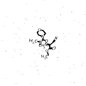 CCOC(=O)/C(C#N)=N/O[C](N(C)C)N1CCOCC1